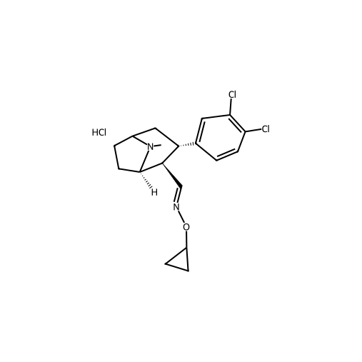 CN1C2CC[C@@H]1[C@H](C=NOC1CC1)[C@@H](c1ccc(Cl)c(Cl)c1)C2.Cl